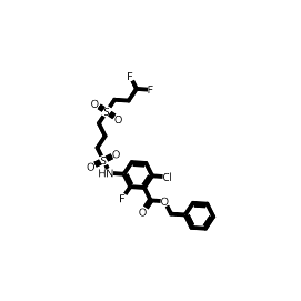 O=C(OCc1ccccc1)c1c(Cl)ccc(NS(=O)(=O)CCCS(=O)(=O)CCC(F)F)c1F